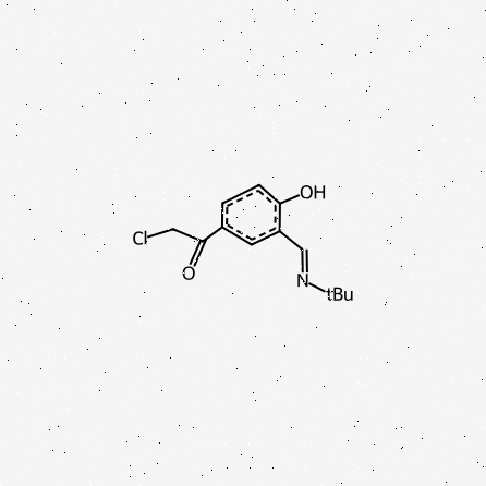 CC(C)(C)N=Cc1cc(C(=O)CCl)ccc1O